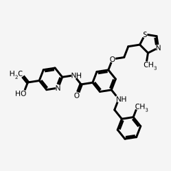 C=C(O)c1ccc(NC(=O)c2cc(NCc3ccccc3C)cc(OCCC3SC=NC3C)c2)nc1